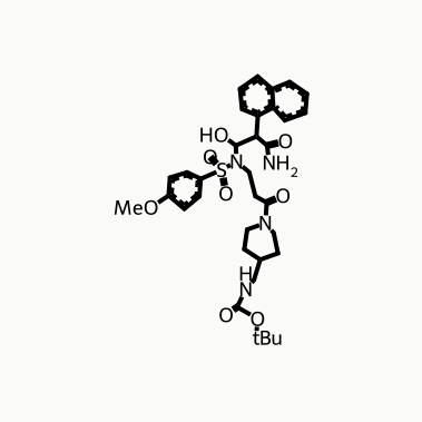 COc1ccc(S(=O)(=O)N(CCC(=O)N2CCC(CNC(=O)OC(C)(C)C)CC2)C(O)C(C(N)=O)c2cccc3ccccc23)cc1